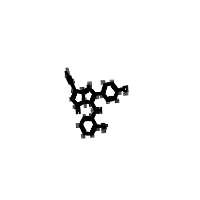 N#Cc1c[nH]n2c(Nc3ccccc3Br)c(-c3ccc(Cl)cc3)nc12